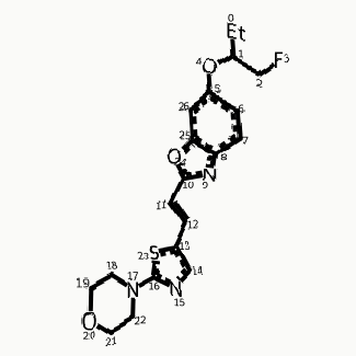 CCC(CF)Oc1ccc2nc(/C=C/c3cnc(N4CCOCC4)s3)oc2c1